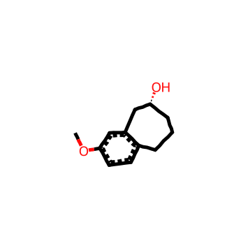 COc1ccc2c(c1)C[C@H](O)CCC2